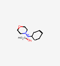 C1CCC(NN2CCOCC2)CC1.O=C(O)O